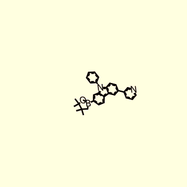 CC1(C)CB(c2ccc3c4cc(-c5cccnc5)ccc4n(-c4ccccc4)c3c2)OC1(C)C